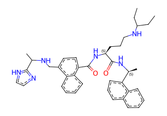 CCC(CC)NCCC[C@H](NC(=O)c1ccc(CNC(C)c2ncc[nH]2)c2ccccc12)C(=O)N[C@@H](C)c1cccc2ccccc12